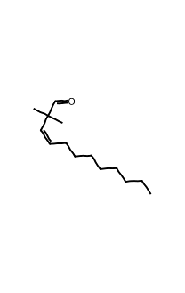 CCCCCCCC/C=C\C(C)(C)C=O